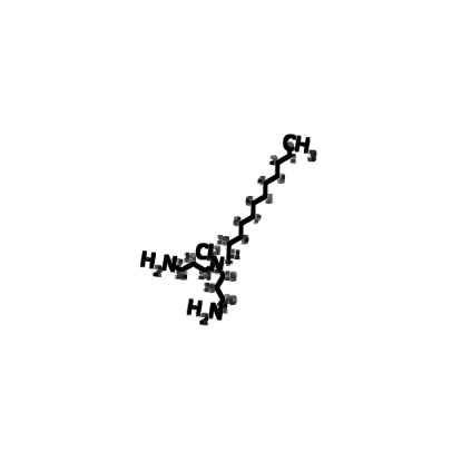 CCCCCCCCCCCC[N+](Cl)(CCCN)CCCN